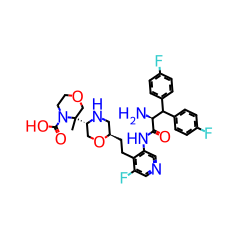 CC1([C@H]2CO[C@H](CCc3c(F)cncc3NC(=O)[C@@H](N)C(c3ccc(F)cc3)c3ccc(F)cc3)CN2)COCCN1C(=O)O